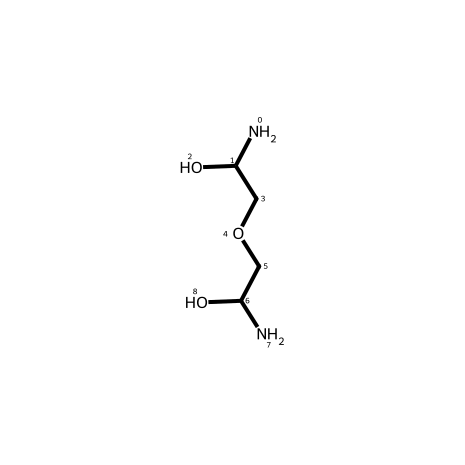 NC(O)COCC(N)O